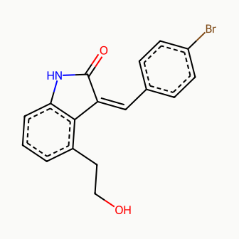 O=C1Nc2cccc(CCO)c2C1=Cc1ccc(Br)cc1